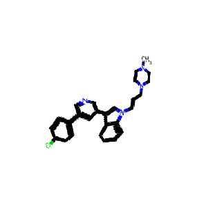 CN1CCN(CCCn2cc(-c3cncc(-c4ccc(Cl)cc4)c3)c3ccccc32)CC1